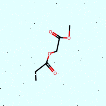 CCC(=O)OCC(=O)OC